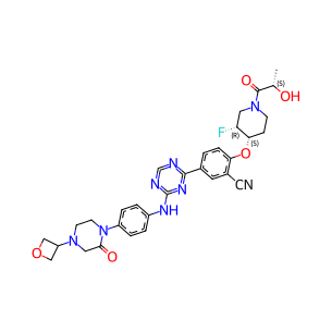 C[C@H](O)C(=O)N1CC[C@H](Oc2ccc(-c3ncnc(Nc4ccc(N5CCN(C6COC6)CC5=O)cc4)n3)cc2C#N)[C@H](F)C1